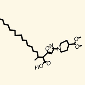 CCCCCCCCCCCCCCC(C)C(C(=O)O)c1cc(N2CCC(C(OC)OC)CC2)no1